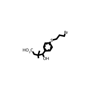 CC(C)(CC(=O)O)C(O)c1ccc(SCCCBr)cc1